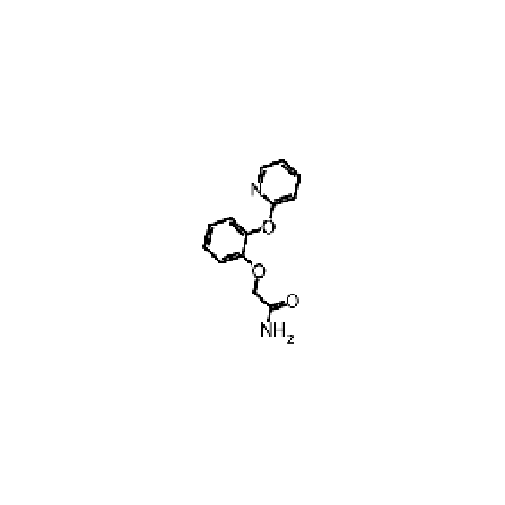 NC(=O)COc1ccccc1Oc1ccccn1